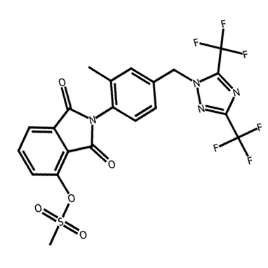 Cc1cc(Cn2nc(C(F)(F)F)nc2C(F)(F)F)ccc1N1C(=O)c2cccc(OS(C)(=O)=O)c2C1=O